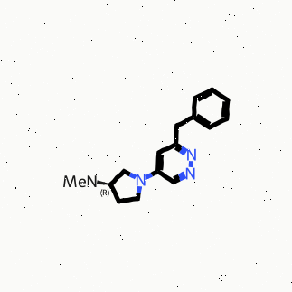 CN[C@@H]1CCN(c2cnnc(Cc3ccccc3)c2)C1